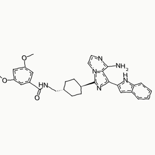 COc1cc(OC)cc(C(=O)NC[C@H]2CC[C@H](c3nc(-c4cc5ccccc5[nH]4)c4c(N)nccn43)CC2)c1